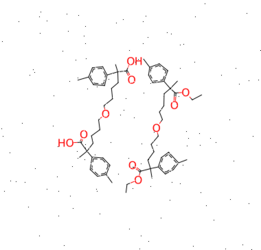 CCOC(=O)C(C)(CCCCOCCCCC(C)(C(=O)OCC)c1ccc(C)cc1)c1ccc(C)cc1.Cc1ccc(C(C)(CCCCOCCCCC(C)(C(=O)O)c2ccc(C)cc2)C(=O)O)cc1